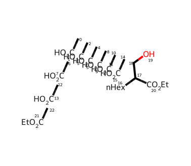 CC(=O)O.CC(=O)O.CC(=O)O.CC(=O)O.CC(=O)O.CC(=O)O.CC(=O)O.CC(=O)O.CCCCCCC(CO)C(=O)OCC.CCOC(C)=O